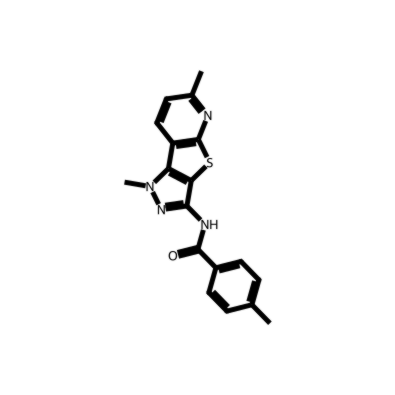 Cc1ccc(C(=O)Nc2nn(C)c3c2sc2nc(C)ccc23)cc1